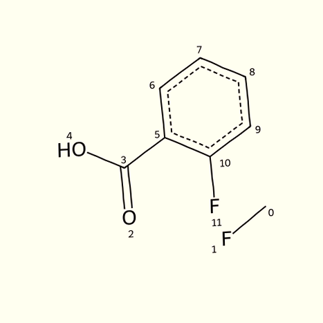 CF.O=C(O)c1ccccc1F